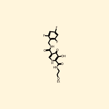 CCOCCNC(=O)c1[nH]cc(C(=O)NCc2c(F)cc(F)cc2F)c(=O)c1O